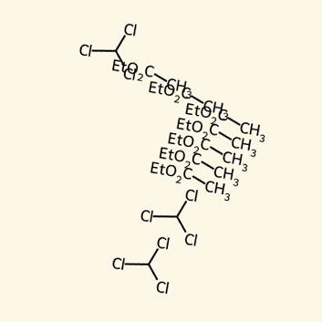 CCOC(C)=O.CCOC(C)=O.CCOC(C)=O.CCOC(C)=O.CCOC(C)=O.CCOC(C)=O.CCOC(C)=O.ClC(Cl)Cl.ClC(Cl)Cl.ClC(Cl)Cl